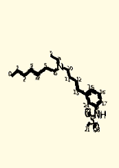 CCCCCCCN(CC)CC/C=C/c1cccc(NS(C)(=O)=O)c1